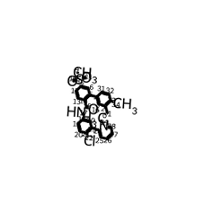 CCc1cc(-c2cc(S(C)(=O)=O)ccc2C(=O)Nc2ccc(Cl)c(-c3ccccn3)c2)ccc1C